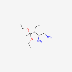 CCO[Si](C)(OCC)C(CC)C(N)CN